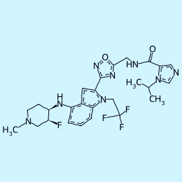 CC(C)n1cncc1C(=O)NCc1nc(-c2cc3c(N[C@@H]4CCN(C)C[C@@H]4F)cccc3n2CC(F)(F)F)no1